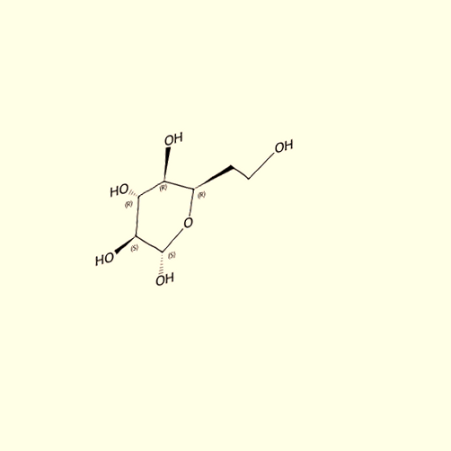 OCC[C@H]1O[C@H](O)[C@@H](O)[C@H](O)[C@H]1O